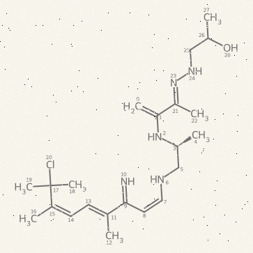 C=C(N[C@@H](C)CN/C=C\C(=N)/C(C)=C/C=C(/C)C(C)(C)Cl)/C(C)=N/NCC(C)O